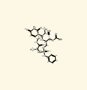 C#C[C@H](OC(=O)C(C)C)[C@@H](COP(=O)(N[C@@H](C)C(=O)OC(C)C)Oc1ccccc1)O[C@H](CO)n1ccc(=O)[nH]c1=O